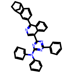 c1ccc(-c2nc(-c3cnc(-c4ccc5c(c4)C4CCC5C4)c4ccccc34)nc(N(c3ccccc3)c3ccccc3)n2)cc1